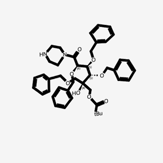 CC(C)(C)C(=O)OC[C@](O)(COCc1ccccc1)[C@@H](OCc1ccccc1)[C@H](OCc1ccccc1)[C@@H](OCc1ccccc1)C(=O)N1CCNCC1